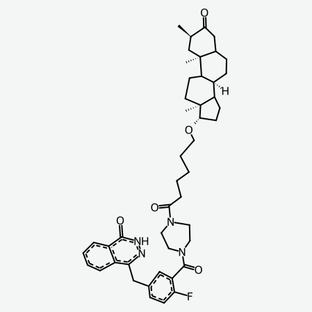 C[C@@H]1C[C@@]2(C)C(CC[C@@H]3C2CC[C@@]2(C)C3CC[C@@H]2OCCCCCC(=O)N2CCN(C(=O)c3cc(Cc4n[nH]c(=O)c5ccccc45)ccc3F)CC2)CC1=O